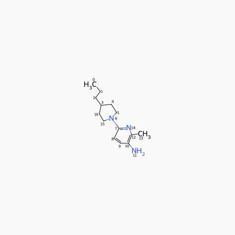 CCCC1CCN(c2ccc(N)c(C)n2)CC1